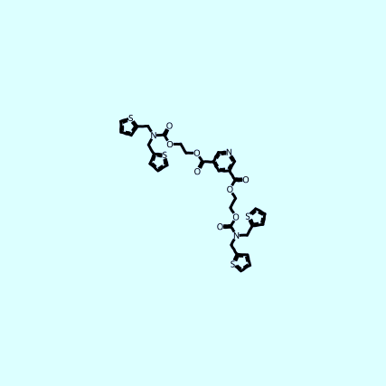 O=C(OCCOC(=O)N(Cc1cccs1)Cc1cccs1)c1cncc(C(=O)OCCOC(=O)N(Cc2cccs2)Cc2cccs2)c1